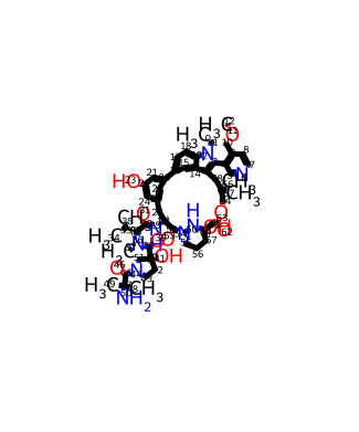 CCn1c(-c2cnccc2COC)c2c3cc(ccc31)-c1cc(O)cc(c1)C[C@H](NC(=O)[C@H](C(C)C)N(C)C(=O)[C@]1(O)CCN(C(=O)C(C)(C)N)C1)C(=O)N1CCC[C@@](O)(N1)C(=O)OCC(C)(C)C2